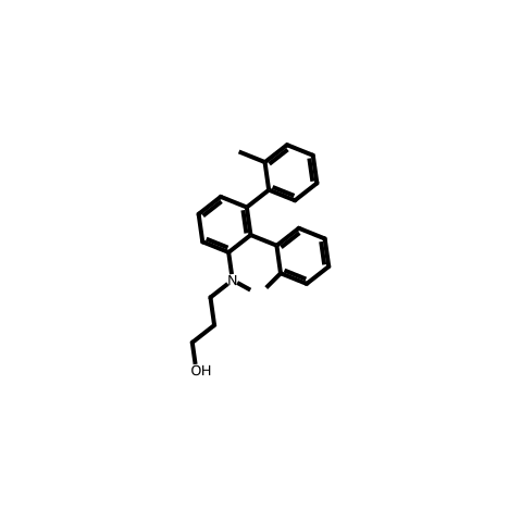 Cc1ccccc1-c1cccc(N(C)CCCO)c1-c1ccccc1C